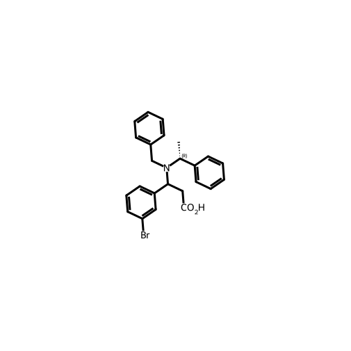 C[C@H](c1ccccc1)N(Cc1ccccc1)C(CC(=O)O)c1cccc(Br)c1